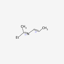 C/C=C/N=C(\C)CC